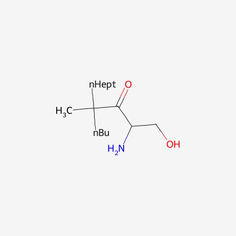 CCCCCCCC(C)(CCCC)C(=O)C(N)CO